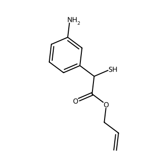 C=CCOC(=O)C(S)c1cccc(N)c1